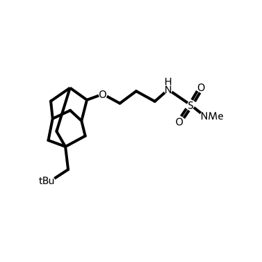 CNS(=O)(=O)NCCCOC1C2CC3CC1CC(CC(C)(C)C)(C3)C2